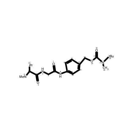 CNC(C(=O)NCC(=O)Nc1ccc(COC(=O)N(C)C(C)(C)C)cc1)C(C)C